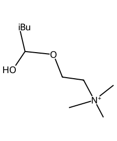 CCC(C)C(O)OCC[N+](C)(C)C